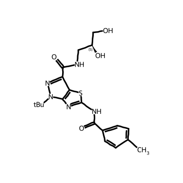 Cc1ccc(C(=O)Nc2nc3c(s2)c(C(=O)NC[C@H](O)CO)nn3C(C)(C)C)cc1